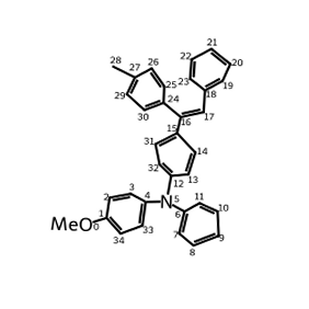 COc1ccc(N(c2ccccc2)c2ccc(C(=Cc3ccccc3)c3ccc(C)cc3)cc2)cc1